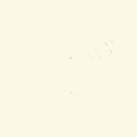 Cc1sc2c(c1C)C(c1ccc(OCCC3CCN(CCOc4ccc(C(=O)c5c(-c6ccc(O)cc6)sc6cc(O)ccc56)cc4)CC3)cc1)=N[C@@H](Cc1ncco1)c1nnc(C)n1-2